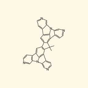 CC1(C)c2c(cc3c4ccncc4n4c5cnccc5c2c34)-c2cc3c4ccncc4n4c5cnccc5c(c21)c34